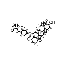 C[C@H]1[C@H](C)CC[C@]2(C(=O)Oc3ccc(C[C@@H](N)C(=O)O)cc3)CC[C@]3(C)C(=CC[C@@H]4[C@@]5(C)CC[C@H](O)C(C)(C)[C@@H]5CC[C@]43C)[C@H]12